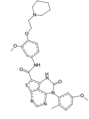 COc1ccc(C)c(N2C(=O)Nc3c(C(=O)Nc4ccc(OCCN5CCCCC5)c(OC)c4)sc4ncnc2c34)c1